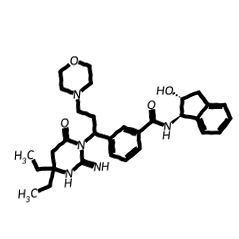 CCC1(CC)CC(=O)N(C(CCN2CCOCC2)c2cccc(C(=O)N[C@@H]3c4ccccc4C[C@H]3O)c2)C(=N)N1